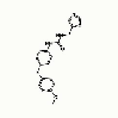 COc1ccc(Sc2ccc(NC(=O)NCc3cnco3)cc2)cc1